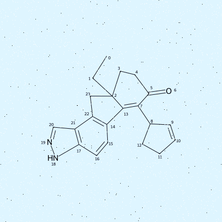 CCC12CCC(=O)C(C3C=CCC3)=C1c1ccc3[nH]ncc3c1C2